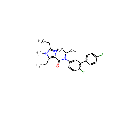 CCc1nc(C(=O)N(c2ccc(F)c(-c3ccc(F)cc3)c2)C(C)C)c(CC)n1C